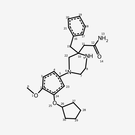 COc1ccc(N2CCNC(CC(N)=O)(Cc3ccccc3)C2)cc1OC1CCCC1